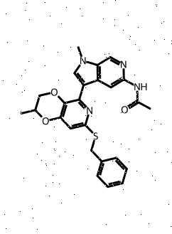 CC(=O)Nc1cc2c(-c3nc(SCc4ccccc4)cc4c3OCC(C)O4)cn(C)c2cn1